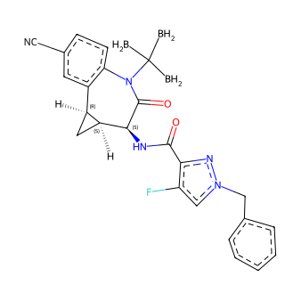 BC(B)(B)N1C(=O)[C@@H](NC(=O)c2nn(Cc3ccccc3)cc2F)[C@H]2C[C@H]2c2cc(C#N)ccc21